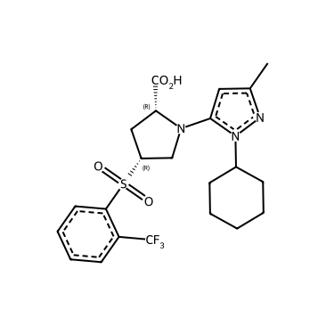 Cc1cc(N2C[C@H](S(=O)(=O)c3ccccc3C(F)(F)F)C[C@@H]2C(=O)O)n(C2CCCCC2)n1